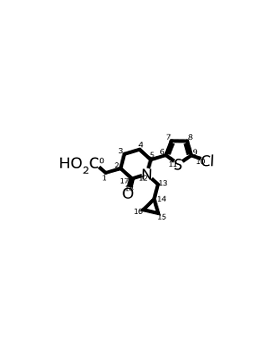 O=C(O)CC1CCC(c2ccc(Cl)s2)N(CC2CC2)C1=O